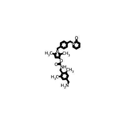 Cc1cc(CN)cc(C)c1CNC(=O)Oc1cc(C)n(Cc2ccc(Cn3ccccc3=O)cc2)c1C